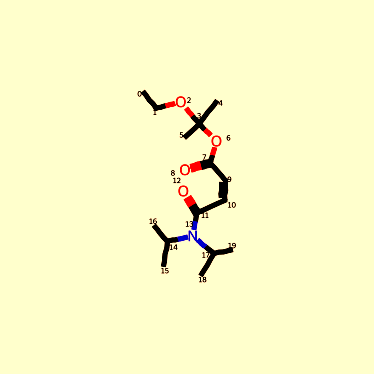 CCOC(C)(C)OC(=O)/C=C\C(=O)N(C(C)C)C(C)C